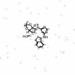 CN(c1cc(N[C@H]2CCc3ccccc32)ncn1)[C@@H]1C[C@H](CO)[C@H]2OC(C)(C)O[C@H]21